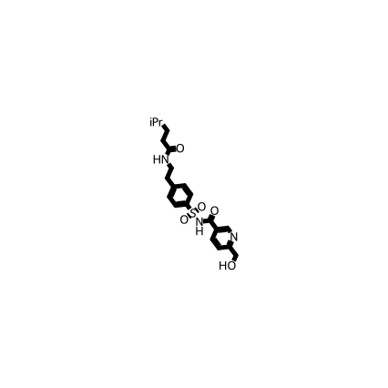 CC(C)CCC(=O)NCCc1ccc(S(=O)(=O)NC(=O)c2ccc(CO)nc2)cc1